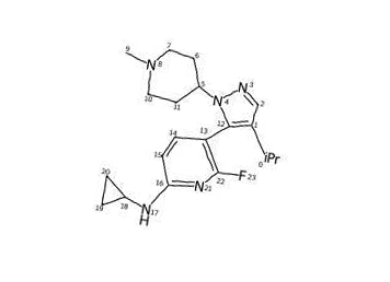 CC(C)c1cnn(C2CCN(C)CC2)c1-c1ccc(NC2CC2)nc1F